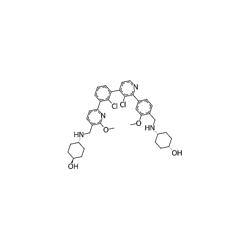 COc1cc(-c2nccc(-c3cccc(-c4ccc(CN[C@H]5CC[C@H](O)CC5)c(OC)n4)c3Cl)c2Cl)ccc1CN[C@H]1CC[C@@H](O)CC1